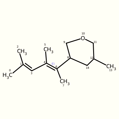 CC(C)=C/C(C)=C(\C)C1COCC(C)C1